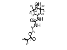 C=C(C)C(=O)OCCNC(=O)NC1CC(C)(C)N(O)C(C)(C)C1